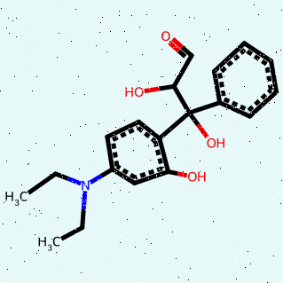 CCN(CC)c1ccc(C(O)(c2ccccc2)C(O)C=O)c(O)c1